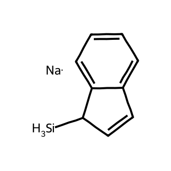 [Na].[SiH3]C1C=Cc2ccccc21